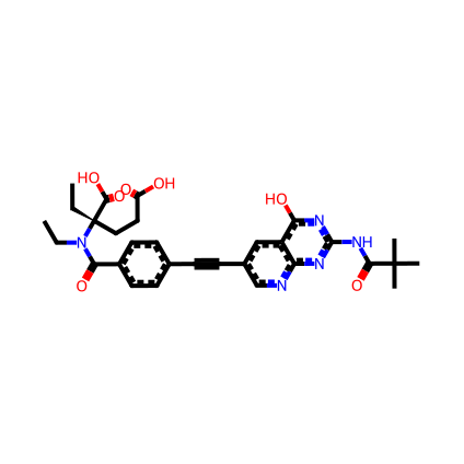 CCN(C(=O)c1ccc(C#Cc2cnc3nc(NC(=O)C(C)(C)C)nc(O)c3c2)cc1)[C@@](CC)(CCC(=O)O)C(=O)O